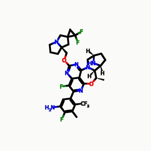 Cc1c(F)c(N)cc(-c2nc3c4c(nc(OC[C@@]56CCCN5CC5(CC5(F)F)C6)nc4c2F)N2C[C@H]4CC[C@H](N4)[C@H]2[C@H](C)O3)c1C(F)(F)F